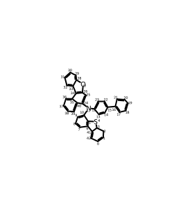 C1=CCC2Sc3c(cccc3N(c3ccc(-c4ccccc4)cc3)c3cc4oc5ccccc5c4c4ccccc34)C2=C1